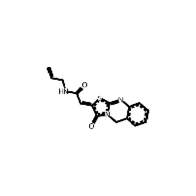 C=CCNC(=O)/C=c1\sc2n(c1=O)Cc1ccccc1N=2